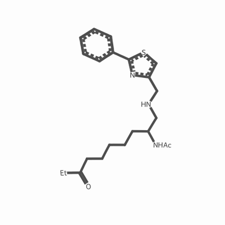 CCC(=O)CCCCCC(CNCc1csc(-c2ccccc2)n1)NC(C)=O